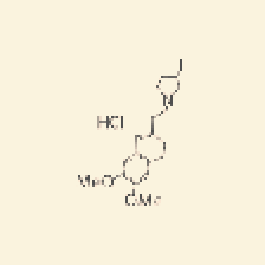 COc1cc2c(cc1OC)CCC(CCN1CCC(F)C1)=C2.Cl